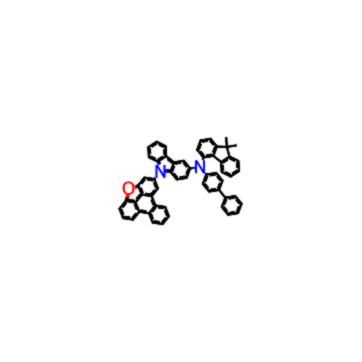 CC1(C)c2ccccc2-c2c(N(c3ccc(-c4ccccc4)cc3)c3ccc4c(c3)c3ccccc3n4-c3cc4oc5cccc6c7ccccc7c(c3)c4c56)cccc21